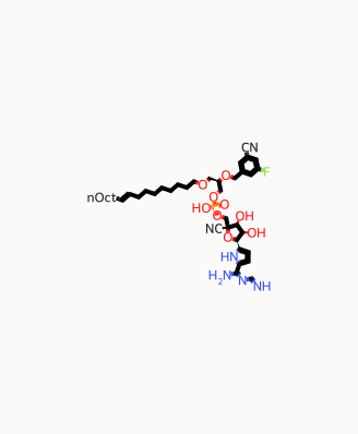 CCCCCCCC/C=C/CCCCCCCCOC[C@H](COP(=O)(O)OC[C@@]1(C#N)O[C@@H](c2ccc(/C(N)=N\C=N)[nH]2)[C@H](O)[C@@H]1O)OCc1cc(F)cc(C#N)c1